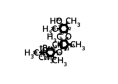 Cc1cc(Oc2c(C)cc(Oc3c(C)cc(C(C)(C)C(C)(C)C)cc3C)cc2C)cc(C)c1O